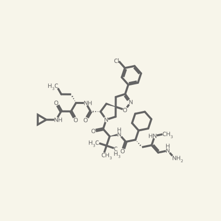 CCC[C@H](NC(=O)[C@@H]1C[C@]2(CC(c3cccc(Cl)c3)=NO2)CN1C(=O)[C@@H](NC(=O)[C@@H](C/C(=C/NN)NC)C1CCCCC1)C(C)(C)C)C(=O)C(=O)NC1CC1